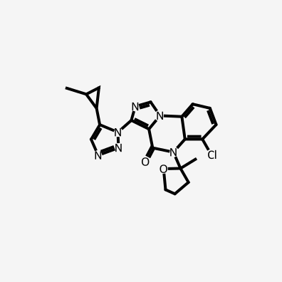 CC1CC1c1cnnn1-c1ncn2c1c(=O)n(C1(C)CCCO1)c1c(Cl)cccc12